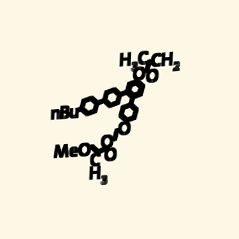 C=C(C)C(=O)Oc1ccc(C2CCC(OCCOC(=O)C(C)COC)CC2)c(C2CCC(C3CCC(CCCC)CC3)CC2)c1